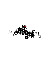 Cc1csc(C2CCCN2C(=O)c2cc(C(=O)N[C@@H](Cc3ccccc3)[C@H](O)CNCc3cncc(C(C)(C)F)c3)cc(-c3ncco3)c2)n1